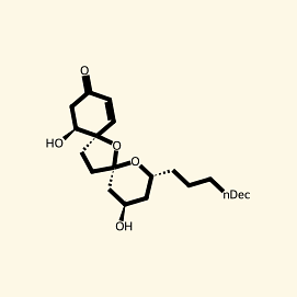 CCCCCCCCCCCCC[C@@H]1C[C@@H](O)C[C@@]2(CC[C@]3(C=CC(=O)C[C@@H]3O)O2)O1